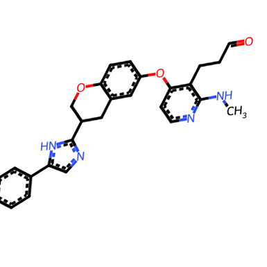 CNc1nccc(Oc2ccc3c(c2)CC(c2ncc(-c4ccccc4)[nH]2)CO3)c1CCC=O